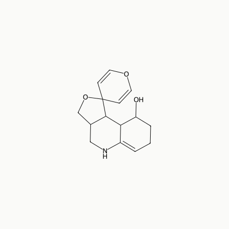 OC1CCC=C2NCC3COC4(C=COC=C4)C3C21